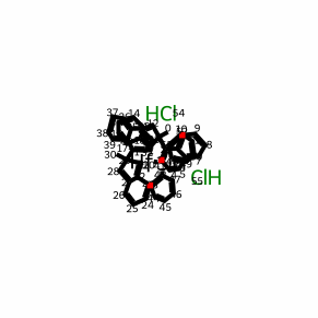 CC1(c2cccc3ccccc23)C=c2ccccc2=[C]1[Hf]([C]1=c2ccccc2=CC1(C)c1cccc2ccccc12)[SiH](c1ccccc1)c1ccccc1.Cl.Cl